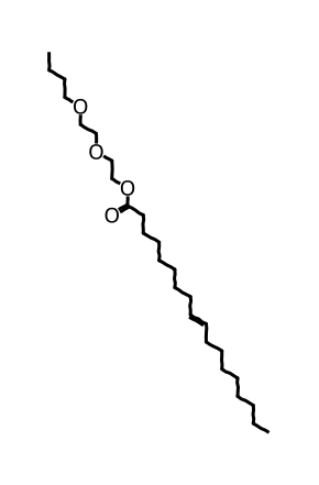 CCCCCCCCC=CCCCCCCCC(=O)OCCOCCOCCCC